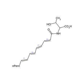 CCCCC/C=C/C=C/C=C/C=C/C(=O)NC(C(=O)O)C(C)O